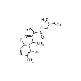 Cc1ccc(F)c(C(C)c2nccn2C(=O)OCC(C)C)c1F